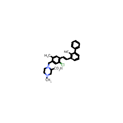 Cc1cc(C=Cc2cccc(-c3ccccc3)c2C#N)c(Cl)cc1CN1CCN(C)CC1C(=O)O